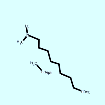 CCCCCCCC.CCCCCCCCCCCCCCCCCCN(C)CC